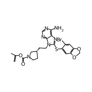 C=C(C)OC(=O)N1CC[C@H](CCn2c(Sc3cc4c(cc3Br)OCO4)nc3c(N)ncnc32)C1